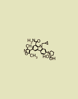 Cc1noc(C)c1-c1cc(C(N)=O)c2c(c1)c1ccc(N3CCCS3(O)O)cc1n2CC1CC1